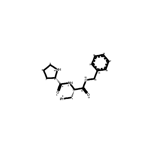 CC(C)C[C@H](NC(=O)[C@@H]1CCCN1)C(=O)OCc1ccccc1